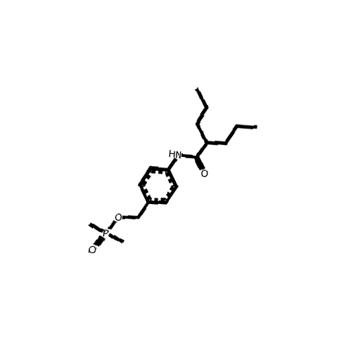 CCCC(CCC)C(=O)Nc1ccc(COP(C)(C)=O)cc1